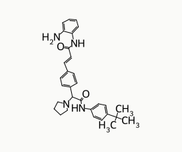 CC(C)(C)c1ccc(NC(=O)C(c2ccc(C=CC(=O)Nc3ccccc3N)cc2)N2CCCC2)cc1